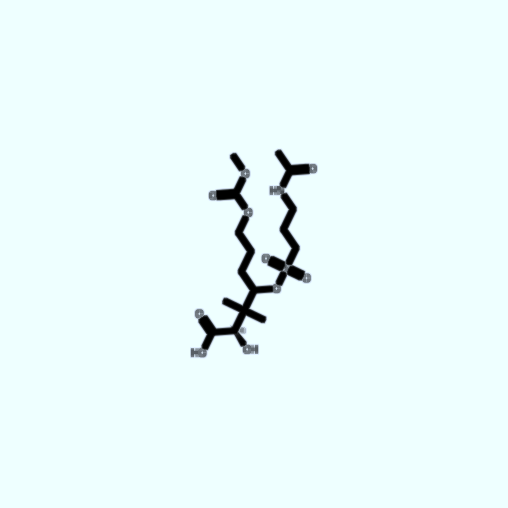 COC(=O)OCCCC(OS(=O)(=O)CCCNC(C)=O)C(C)(C)[C@@H](O)C(=O)O